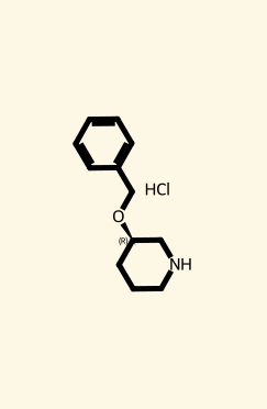 Cl.c1ccc(CO[C@@H]2CCCNC2)cc1